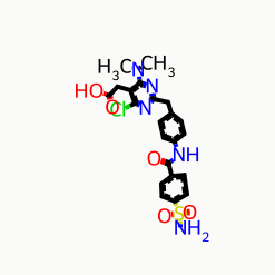 CN(C)c1nc(Cc2ccc(NC(=O)c3ccc(S(N)(=O)=O)cc3)cc2)nc(Cl)c1CC(=O)O